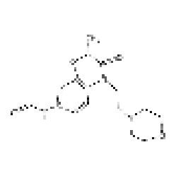 CC1Oc2cc(NC=O)ccc2N(CCN2CCOCC2)C1=O